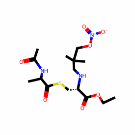 CCOC(=O)[C@H](CSC(=O)C(C)NC(C)=O)NCC(C)(C)CO[N+](=O)[O-]